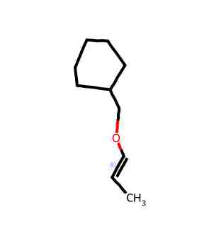 C/C=C/OCC1CCCCC1